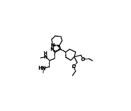 CCOCC1(COCC)CCC(c2c(CC(CNC)NC)nn3c2CCCC3)CC1